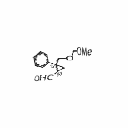 COCOC[C@@]1(c2ccccc2)C[C@H]1C=O